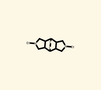 CCN1CC2C3CCC(C2C1)C1CN(CC)CC31